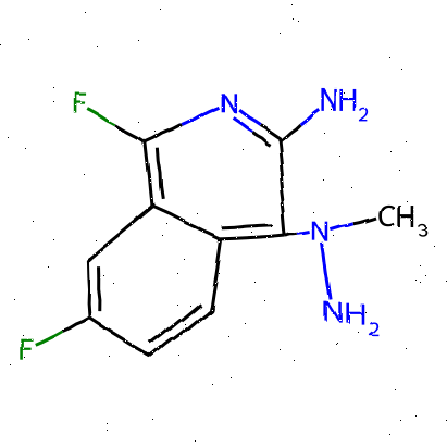 CN(N)c1c(N)nc(F)c2cc(F)ccc12